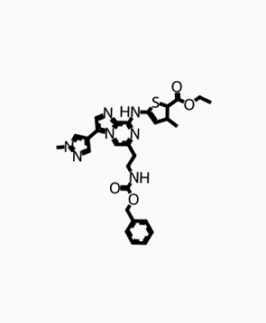 CCOC(=O)C1SC(Nc2nc(CCNC(=O)OCc3ccccc3)cn3c(-c4cnn(C)c4)cnc23)=CC1C